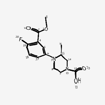 COC(=O)c1cc(N2CCN(C(=O)O)C[C@@H]2C)ccc1F